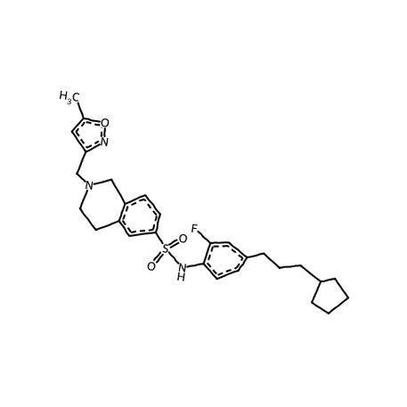 Cc1cc(CN2CCc3cc(S(=O)(=O)Nc4ccc(CCCC5CCCC5)cc4F)ccc3C2)no1